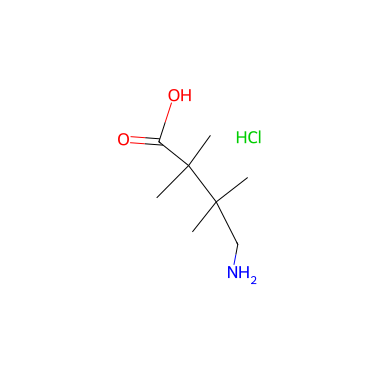 CC(C)(CN)C(C)(C)C(=O)O.Cl